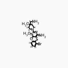 Cn1c(N2CCC(C)(CN)CC2)nc(N)c(Sc2ccccc2Br)c1=O